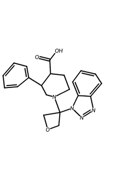 O=C(O)C1CCN(C2(n3nnc4ccccc43)COC2)CC1c1ccccc1